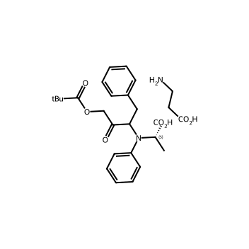 C[C@@H](C(=O)O)N(c1ccccc1)C(Cc1ccccc1)C(=O)COC(=O)C(C)(C)C.NCCC(=O)O